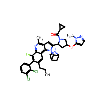 Cc1nc2c(F)c(-c3cccc(Cl)c3Cl)c(CCC#N)cc2c2c1cc(C1CC(Oc3ccnn3C(F)(F)F)CN1C(=O)C1CC1)n2C1C2CNC1C2